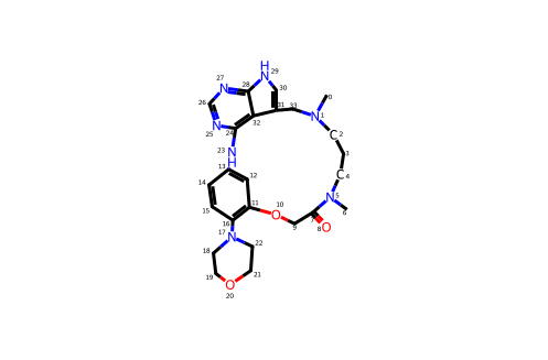 CN1CCCN(C)C(=O)COc2cc(ccc2N2CCOCC2)Nc2ncnc3[nH]cc(c23)C1